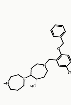 CN1CCCN(C2CCN(Cc3cc(Cl)ccc3OCc3ccccc3)CC[C@@H]2O)CC1